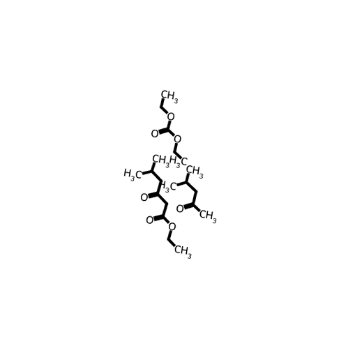 CC(=O)CC(C)C.CCOC(=O)CC(=O)CC(C)C.CCOC(=O)OCC